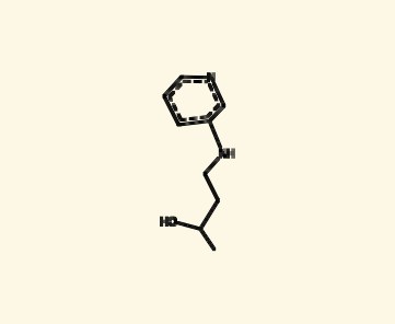 CC(O)CCNc1cccnc1